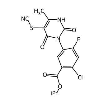 Cc1[nH]c(=O)n(-c2cc(C(=O)OC(C)C)c(Cl)cc2F)c(=O)c1SC#N